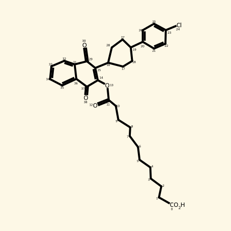 O=C(O)CCCCCCCCCCC(=O)OC1=C(C2CCC(c3ccc(Cl)cc3)CC2)C(=O)c2ccccc2C1=O